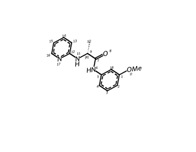 COc1cccc(NC(=O)[C@@H](C)Nc2ccccn2)c1